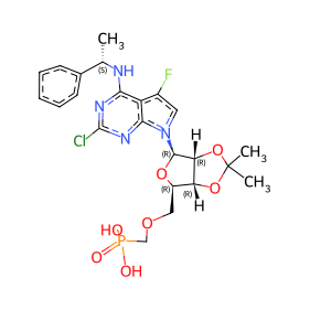 C[C@H](Nc1nc(Cl)nc2c1c(F)cn2[C@@H]1O[C@H](COCP(=O)(O)O)[C@H]2OC(C)(C)O[C@H]21)c1ccccc1